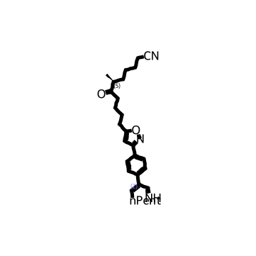 CCCCC/C=C(\C=N)c1ccc(-c2cc(CCCCC(=O)[C@@H](C)CCCCC#N)on2)cc1